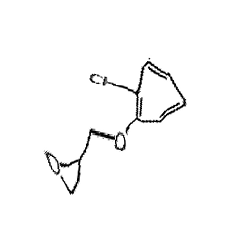 Clc1[c]cccc1OCC1CO1